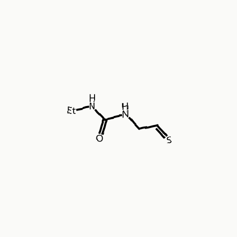 CCNC(=O)NCC=S